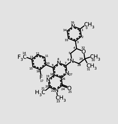 Cc1cc(C2CN(c3nc(-c4ccc(C(F)(F)F)cc4F)c4nc(C)n(C)c(=O)c4n3)CC(C)(C)O2)ccn1